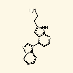 NCCc1cc2c(-c3cnn4ncccc34)ccnc2[nH]1